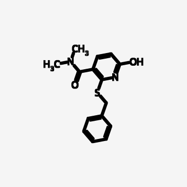 CN(C)C(=O)c1ccc(O)nc1SCc1ccccc1